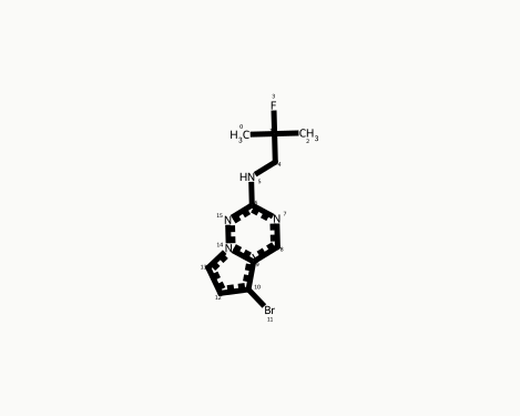 CC(C)(F)CNc1ncc2c(Br)ccn2n1